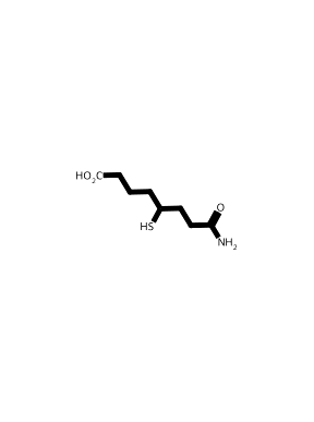 NC(=O)CCC(S)CCCC(=O)O